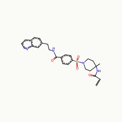 C=CC(=O)NC1(C)CCN(S(=O)(=O)c2ccc(C(=O)NCCc3ccc4cccnc4c3)cc2)CC1